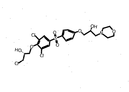 O=S(=O)(c1ccc(OC[C@@H](O)CN2CCOCC2)cc1)c1cc(Cl)c(OC[C@@H](O)CCl)c(Cl)c1